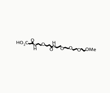 COCCOCCOCCOCCNC(=O)CCOCCNC(=O)CC(=O)O